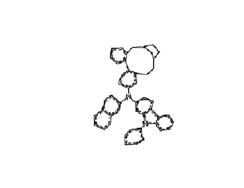 c1ccc(-n2c3ccccc3c3ccc(N(c4ccc5c(c4)CCC4CCC(Cc6ccccc6-5)C4)c4ccc5ccccc5c4)cc32)cc1